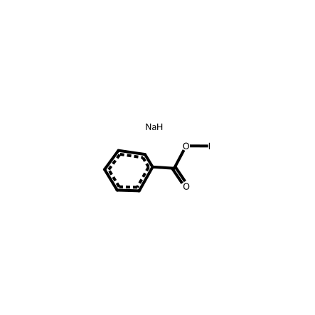 O=C(OI)c1ccccc1.[NaH]